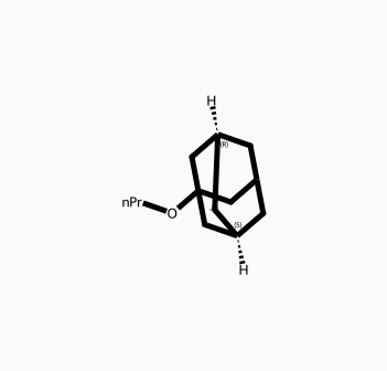 CCCOC12CC3C[C@@H]([CH][C@@H](C3)C1)C2